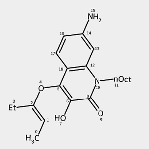 CC=C(CC)Oc1c(O)c(=O)n(CCCCCCCC)c2cc(N)ccc12